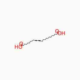 O=C(O)CCCCCCCCC#CC#CCCCCCCCCCCCC(=O)O